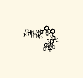 COc1nc(-c2cccc(-c3cccc(-c4cc5c(=O)n(C)c(CNC(C)(C)C(=O)OC(C)C)nn5c4)c3Cl)c2Cl)cc(Cl)c1CN(C[C@@H]1CCC(=O)N1)C(=O)OC(C)(C)C